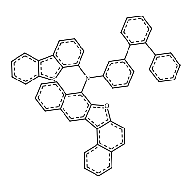 c1ccc(-c2ccccc2-c2cccc(N(c3c4ccccc4cc4c3oc3ccc5ccccc5c34)c3cccc4c3sc3ccccc34)c2)cc1